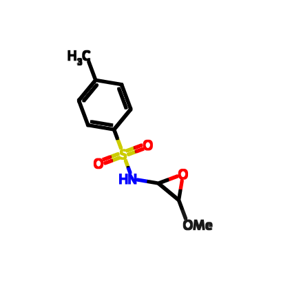 COC1OC1NS(=O)(=O)c1ccc(C)cc1